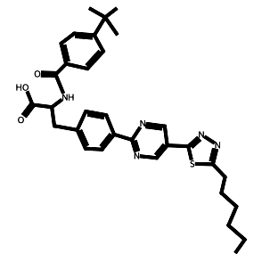 CCCCCCc1nnc(-c2cnc(-c3ccc(CC(NC(=O)c4ccc(C(C)(C)C)cc4)C(=O)O)cc3)nc2)s1